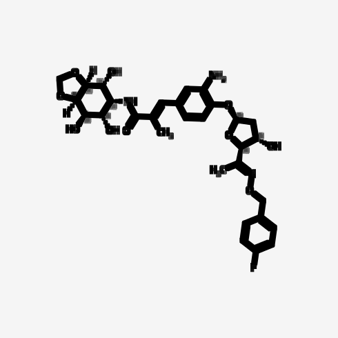 CC(=Cc1ccc(O[C@H]2C[C@H](O)[C@@H](C(C)=NOCc3ccc(F)cc3)O2)c(N)c1)C(=O)N[C@@H]1[C@H](O)[C@@H](O)[C@H]2OCO[C@H]2[C@@H]1O